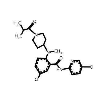 CC(C)C(=O)N1CCC(N(C)c2ccc(Cl)cc2C(=O)Nc2ccc(Cl)cn2)CC1